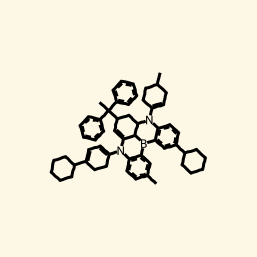 Cc1ccc2c(c1)B1c3cc(C4CCCCC4)ccc3N(C3=CCC(C)CC3)C3CC(C(C)(c4ccccc4)c4ccccc4)C=C(C13)N2C1=CC=C(C2CCCCC2)CC1